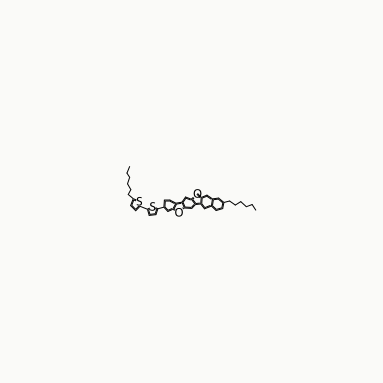 CCCCCCc1ccc2cc3c(cc2c1)oc1cc2c(cc13)oc1cc(-c3ccc(-c4ccc(CCCCCC)s4)s3)ccc12